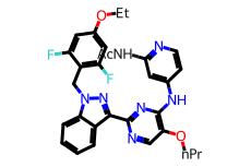 [CH2]CCOc1cnc(-c2nn(Cc3c(F)cc(OCC)cc3F)c3ccccc23)nc1Nc1ccnc(NC(C)=O)c1